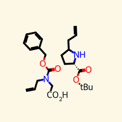 C=CCC1CC[C@@H](C(=O)OC(C)(C)C)N1.C=CCN(CC(=O)O)C(=O)OCc1ccccc1